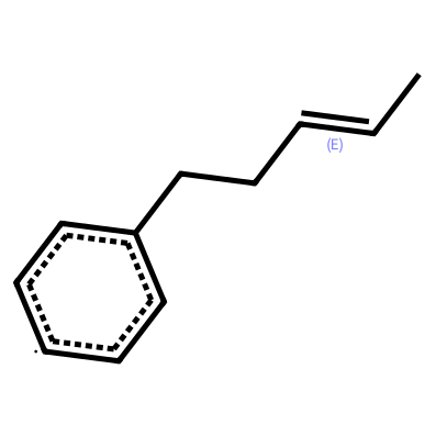 C/C=C/CCc1cc[c]cc1